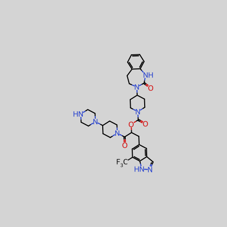 O=C(OC(Cc1cc(C(F)(F)F)c2[nH]ncc2c1)C(=O)N1CCC(N2CCNCC2)CC1)N1CCC(N2CCc3ccccc3NC2=O)CC1